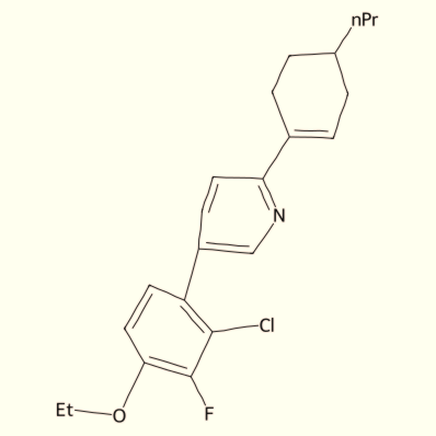 CCCC1CC=C(c2ccc(-c3ccc(OCC)c(F)c3Cl)cn2)CC1